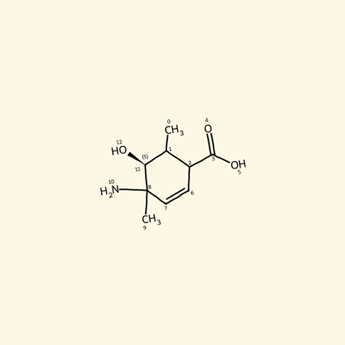 CC1C(C(=O)O)C=CC(C)(N)[C@H]1O